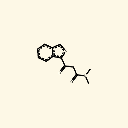 CN(C)C(=O)CC(=O)c1scc2ccccc12